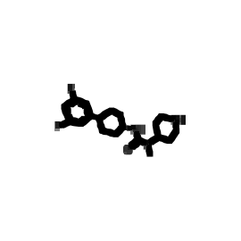 CN(C(=O)N[C@H]1CC[C@H](c2cc(F)cc(F)c2)CC1)C1CCNCC1